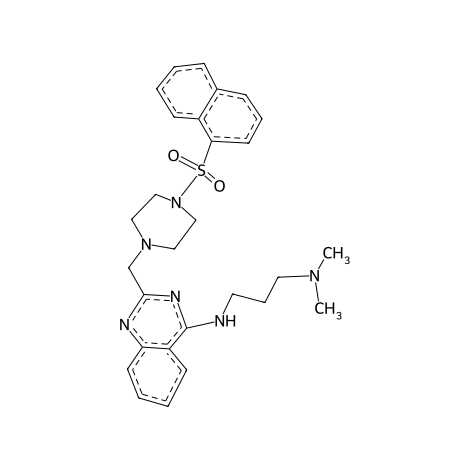 CN(C)CCCNc1nc(CN2CCN(S(=O)(=O)c3cccc4ccccc34)CC2)nc2ccccc12